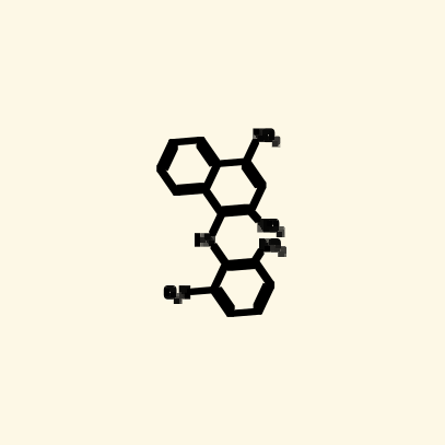 O=[N+]([O-])c1cccc([N+](=O)[O-])c1Nc1c([N+](=O)[O-])cc([N+](=O)[O-])c2ccccc12